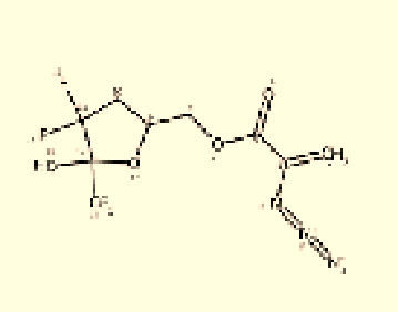 C=C(N=[N+]=[N-])C(=O)OCC1CC(F)(F)C(O)(C(F)(F)F)O1